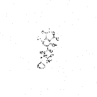 CC1OC(=O)c2c(O)c(C(=O)N[C@H](Cc3ccccc3)C(=O)O)cc(Cl)c2C1=O